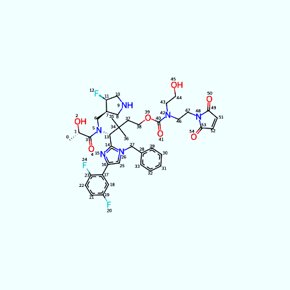 C[C@H](O)C(=O)N(C[C@@H]1CNC[C@@H]1F)[C@@H](c1nc(-c2cc(F)ccc2F)cn1Cc1ccccc1)C(C)(C)CCOC(=O)N(CCO)CCN1C(=O)C=CC1=O